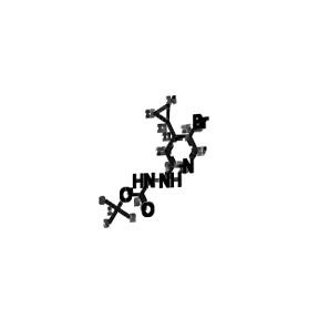 CC(C)(C)OC(=O)NNc1cc(C2CC2)c(Br)cn1